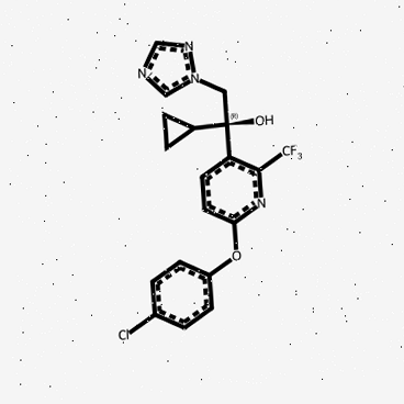 O[C@@](Cn1cncn1)(c1ccc(Oc2ccc(Cl)cc2)nc1C(F)(F)F)C1CC1